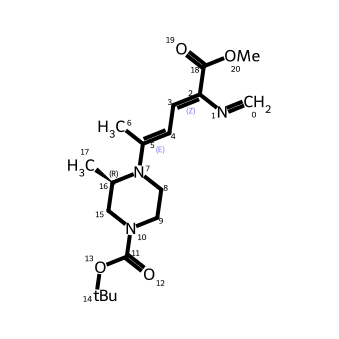 C=N/C(=C\C=C(/C)N1CCN(C(=O)OC(C)(C)C)C[C@H]1C)C(=O)OC